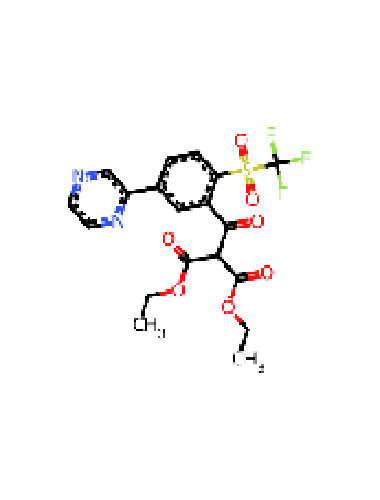 CCOC(=O)C(C(=O)OCC)C(=O)c1cc(-c2cnccn2)ccc1S(=O)(=O)C(F)(F)F